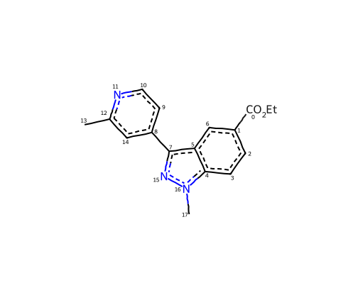 CCOC(=O)c1ccc2c(c1)c(-c1ccnc(C)c1)nn2C